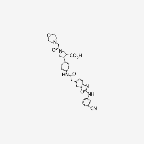 N#Cc1cccc(Nc2nc3ccc(CC(=O)Nc4ccc(C5CN(C(=O)CN6CCOCC6)CC5C(=O)O)cc4)cc3o2)c1